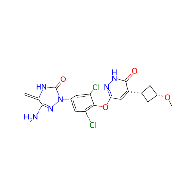 C=C1NC(=O)N(c2cc(Cl)c(Oc3cc([C@H]4C[C@@H](OC)C4)c(=O)[nH]n3)c(Cl)c2)N=C1N